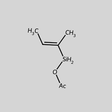 CC=C(C)[SiH2]OC(C)=O